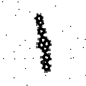 c1ccc2sc(-c3ccc(-c4cc5ccc6cc(-c7ccc8c(c7)oc7ccccc78)cc7ccc(c4)c5c67)cc3)nc2c1